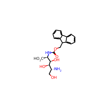 N[C@H](CO)[C@@H](O)[C@H](O)[C@H](NC(=O)OCC1c2ccccc2-c2ccccc21)C(=O)O